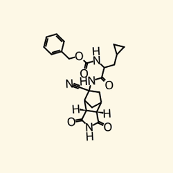 N#CC1(NC(=O)C(CC2CC2)NC(=O)OCc2ccccc2)CC2CC1[C@H]1C(=O)NC(=O)[C@@H]21